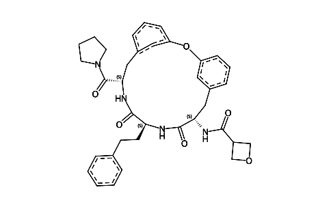 O=C(N[C@H]1Cc2cccc(c2)Oc2cccc(c2)C[C@@H](C(=O)N2CCCC2)NC(=O)[C@H](CCc2ccccc2)NC1=O)C1COC1